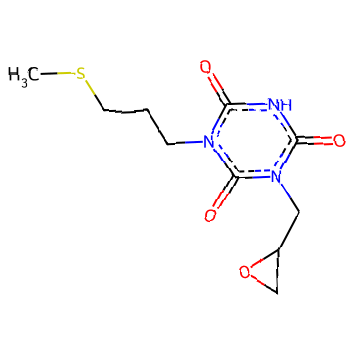 CSCCCn1c(=O)[nH]c(=O)n(CC2CO2)c1=O